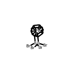 BrB(Br)[C]12[CH]3[CH]4[CH]5[CH]1[Fe]45321678[CH]2[CH]1[CH]6[C]7(B(Br)Br)[CH]28